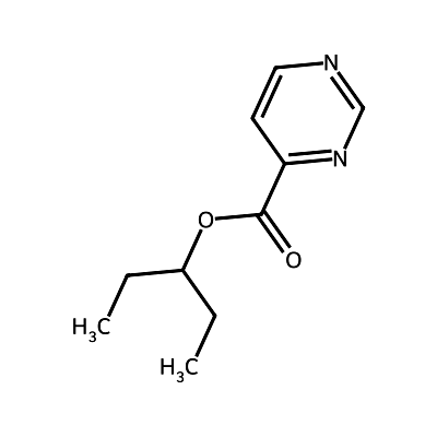 CCC(CC)OC(=O)c1ccncn1